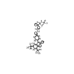 CC(C)(C)CC(C)(C)C(=O)OCCOc1ccc(C2C(=O)Oc3c2cc(C(C)(C)C)cc3C(C)(C)C)cc1